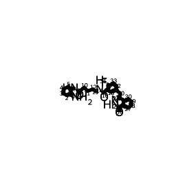 Nc1ccccc1NC(=O)CCCCNC(=O)c1cc(Cc2n[nH]c(=O)c3ccccc23)ccc1F